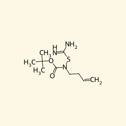 C=CCCN(SC(=N)N)C(=O)OC(C)(C)C